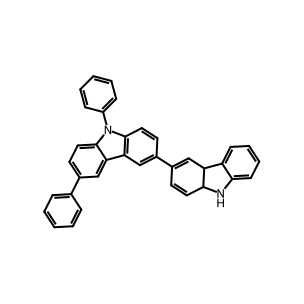 C1=CC2Nc3ccccc3C2C=C1c1ccc2c(c1)c1cc(-c3ccccc3)ccc1n2-c1ccccc1